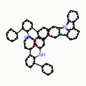 c1ccc(-c2cccc(-c3ccccc3)c2Nc2cc(Nc3c(-c4ccccc4)cccc3-c3ccccc3)cc(-c3ccc4c(c3)c3cccc5c6ccccc6n4c53)c2)cc1